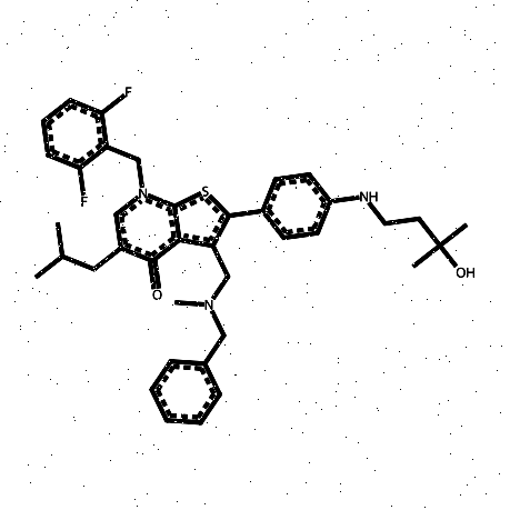 CC(C)Cc1cn(Cc2c(F)cccc2F)c2sc(-c3ccc(NCCC(C)(C)O)cc3)c(CN(C)Cc3ccccc3)c2c1=O